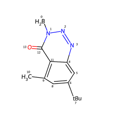 Bn1nnc2cc(C(C)(C)C)cc(C)c2c1=O